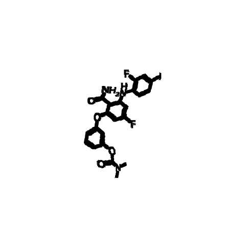 CN(C)C(=O)Oc1cccc(Oc2cc(F)cc(Nc3ccc(I)cc3F)c2C(N)=O)c1